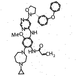 C=CC(=O)Nc1cc(Nc2cc(N3OCC[C@@H]3c3cccc(Oc4ccccc4)c3)ncn2)c(OC)cc1N1CCCN(C2CC2)CC1